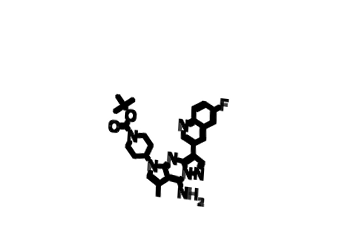 Cc1cn(C2CCN(C(=O)OC(C)(C)C)CC2)c2nc3c(-c4cnc5ccc(F)cc5c4)cnn3c(N)c12